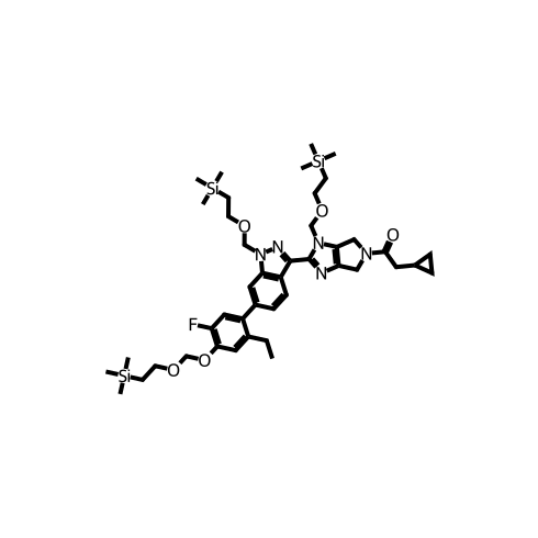 CCc1cc(OCOCC[Si](C)(C)C)c(F)cc1-c1ccc2c(-c3nc4c(n3COCC[Si](C)(C)C)CN(C(=O)CC3CC3)C4)nn(COCC[Si](C)(C)C)c2c1